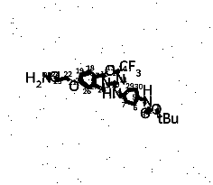 CC(C)(C)OC(=O)NC1CCC(N/C(=N/C(=O)C(F)(F)F)N2Cc3ccc(OCCON)cc3C2)CC1